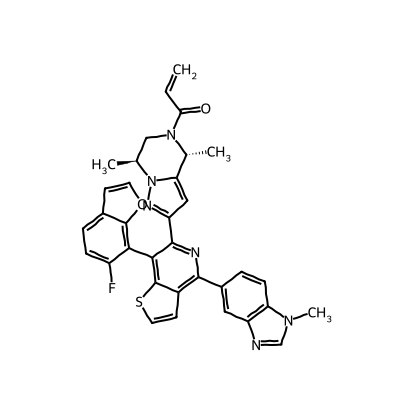 C=CC(=O)N1C[C@H](C)n2nc(-c3nc(-c4ccc5c(c4)ncn5C)c4ccsc4c3-c3c(F)ccc4ccoc34)cc2[C@H]1C